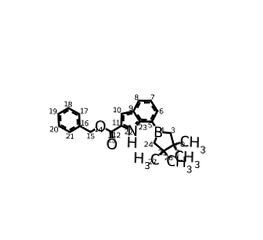 CC1(C)CB(c2cccc3cc(C(=O)OCc4ccccc4)[nH]c23)CC1(C)C